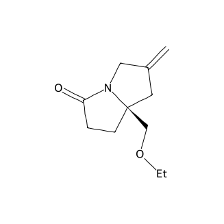 C=C1CN2C(=O)CC[C@@]2(COCC)C1